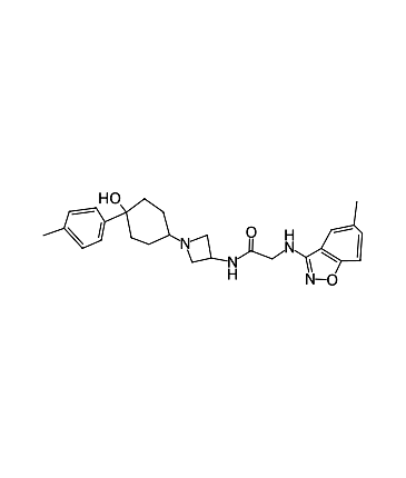 Cc1ccc(C2(O)CCC(N3CC(NC(=O)CNc4noc5ccc(C)cc45)C3)CC2)cc1